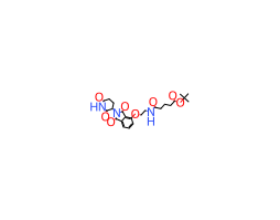 CC(C)(C)OC(=O)CCCC(=O)NCCOc1cccc2c1C(=O)N(C1CCC(=O)NC1=O)C2=O